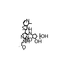 CO[C@H](C)CNc1ncc(-c2nc3c(C)nccc3s2)c(N[C@@H]2C[C@H](C(C)(C)O)[C@@H](O)[C@H]2O)n1